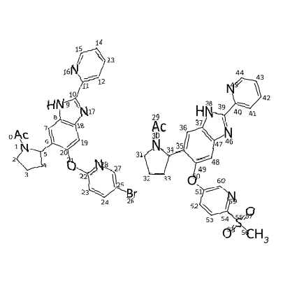 CC(=O)N1CCCC1c1cc2[nH]c(-c3ccccn3)nc2cc1Oc1ccc(Br)cn1.CC(=O)N1CCCC1c1cc2[nH]c(-c3ccccn3)nc2cc1Oc1ccc(S(C)(=O)=O)nc1